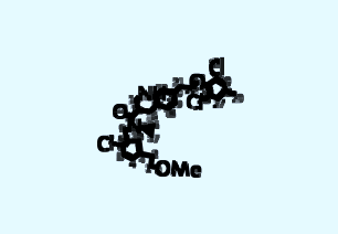 COCCc1ccc(Cl)c(CN(C(=O)C(CN)Cc2ccc(CCOc3c(Cl)cc(C)cc3Cl)cc2)C2CC2)c1